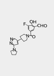 O=Cc1cc(C(=O)N2CCC(c3cnnc(N4CCCC4)c3)CC2)cc(F)c1O